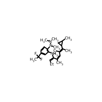 CC\C=C(Nc1cc(C(C)(F)F)ccc1N(C)N(C)C)/C(C)=C\C(C)=C(/C)C1CC1C